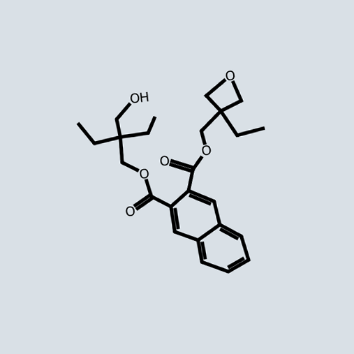 CCC(CC)(CO)COC(=O)c1cc2ccccc2cc1C(=O)OCC1(CC)COC1